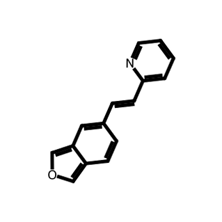 C(=Cc1ccccn1)c1ccc2cocc2c1